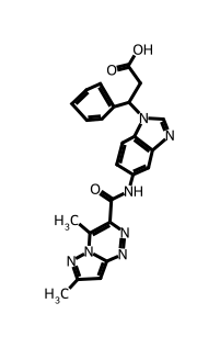 Cc1cc2nnc(C(=O)Nc3ccc4c(c3)ncn4C(CC(=O)O)c3ccccc3)c(C)n2n1